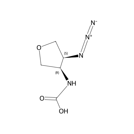 [N-]=[N+]=N[C@@H]1COC[C@@H]1NC(=O)O